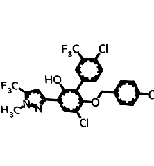 Cn1nc(-c2cc(Cl)c(OCc3ccc(Cl)cc3)c(-c3ccc(Cl)c(C(F)(F)F)c3)c2O)cc1C(F)(F)F